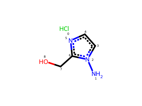 Cl.Nn1ccnc1CO